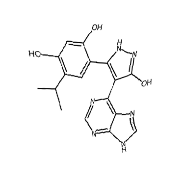 CC(C)c1cc(-c2[nH]nc(O)c2-c2ncnc3[nH]cnc23)c(O)cc1O